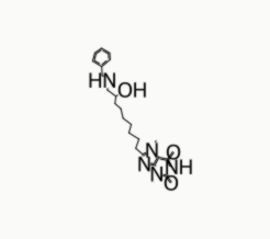 Cn1c(CCCCCCCC(O)CNCc2ccccc2)nc2c1c(=O)[nH]c(=O)n2C